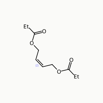 CCC(=O)OC/C=C\COC(=O)CC